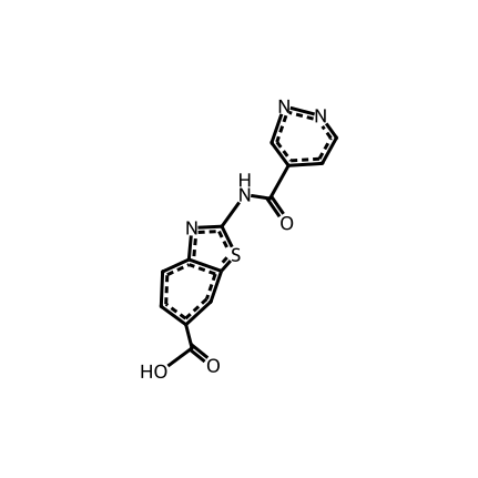 O=C(O)c1ccc2nc(NC(=O)c3ccnnc3)sc2c1